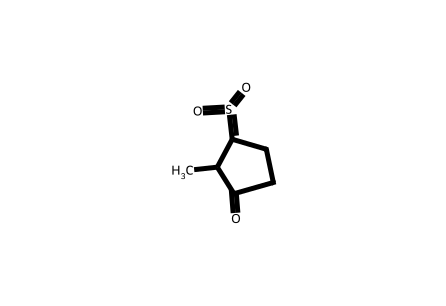 CC1C(=O)CCC1=S(=O)=O